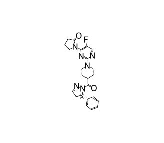 O=C1CCCN1c1nc(N2CCC(C(=O)N3N=CC[C@H]3c3ccccc3)CC2)ncc1F